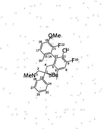 CCC(C)[C@@](CNC)(Cc1c(C)cc(F)c(Cl)c1-c1c(C)ccc(OC)c1F)c1ccccc1